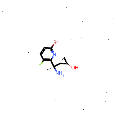 C[C@](N)(c1nc(Br)ccc1F)[C@@H]1C[C@@H]1O